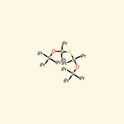 CC(C)[Si](O[Si](C(C)C)(C(C)C)C(C)C)(S[Si](O[Si](C(C)C)(C(C)C)C(C)C)(C(C)C)C(C)C)C(C)C